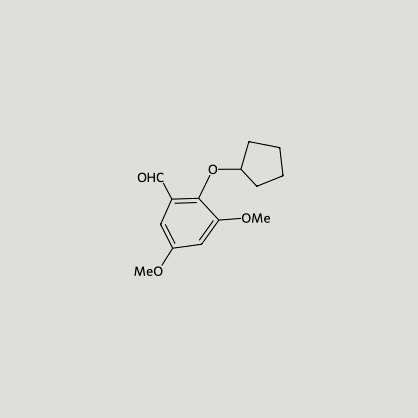 COc1cc(C=O)c(OC2CCCC2)c(OC)c1